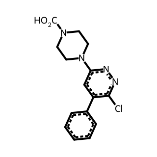 O=C(O)N1CCN(c2cc(-c3ccccc3)c(Cl)nn2)CC1